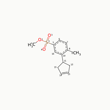 COS(=O)(=O)c1ccc(C)c(C2CC=CC2)c1